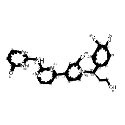 O=c1ccnc(Nc2nccc(-c3ccn([C@H](CCO)c4ccc(Cl)c(F)c4)c(=O)c3)n2)[nH]1